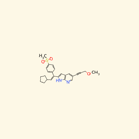 COCC#Cc1cnc2[nH]c(/C(=C/C3CCCC3)c3ccc(S(C)(=O)=O)cc3)cc2c1